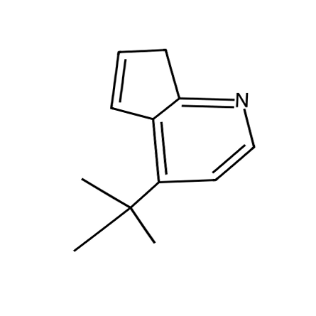 CC(C)(C)c1ccnc2c1C=CC2